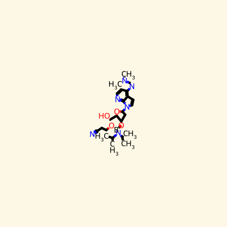 CC(C)N(B(OCCC#N)O[C@H]1CC(n2ccc3c(/N=C\N(C)C)ccnc32)OC1CO)C(C)C